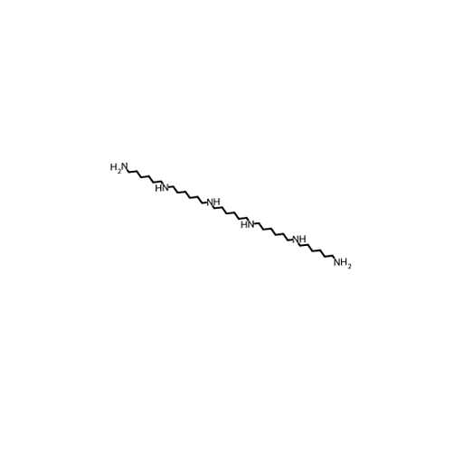 NCCCCCCNCCCCCCNCCCCCCNCCCCCCNCCCCCCN